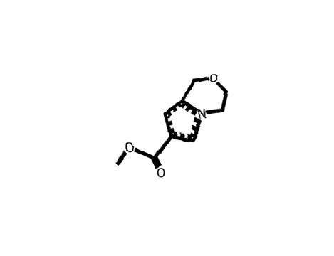 COC(=O)c1cc2n(c1)CCOC2